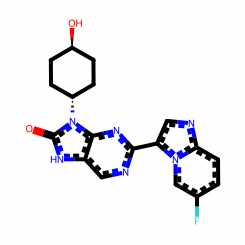 O=c1[nH]c2cnc(-c3cnc4ccc(F)cn34)nc2n1[C@H]1CC[C@H](O)CC1